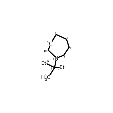 CCC(C)(CC)N1CCCCCC1